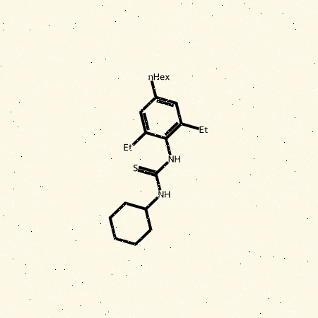 CCCCCCc1cc(CC)c(NC(=S)NC2CCCCC2)c(CC)c1